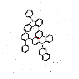 c1ccc(-c2ccccc2-c2ccc(N(c3ccc4ccccc4c3)c3ccccc3-c3cccc(-c4cccc5c4c4ccccc4n5-c4ccccc4)c3)cc2)cc1